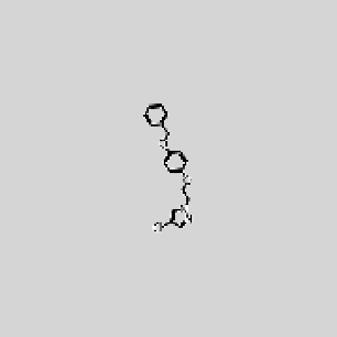 Clc1cnn(CCOc2ccc(OCc3ccccc3)cc2)c1